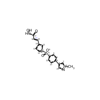 Cn1cc(-c2ccc(S(=O)(=O)n3ccc(/C=C/C(=O)NO)c3)cc2)cn1